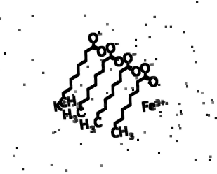 CCCCCCCCC(=O)[O-].CCCCCCCCC(=O)[O-].CCCCCCCCC(=O)[O-].CCCCCCCCC(=O)[O-].[Fe+3].[K+]